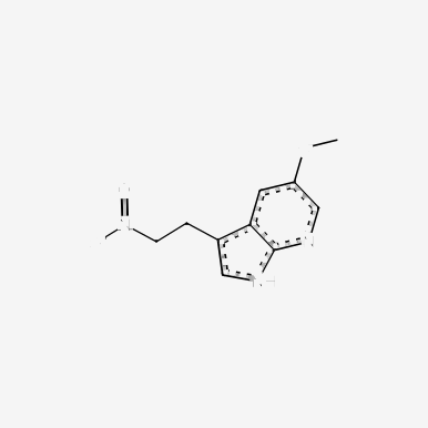 COc1cnc2[nH]cc(CC[N+](=O)[O-])c2c1